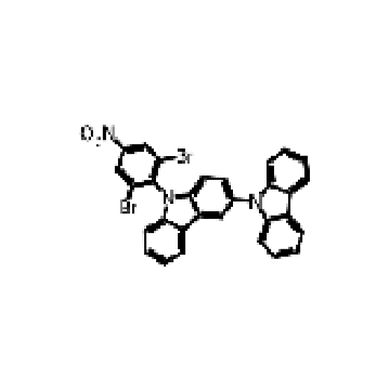 O=[N+]([O-])c1cc(Br)c(-n2c3ccccc3c3cc(-n4c5ccccc5c5ccccc54)ccc32)c(Br)c1